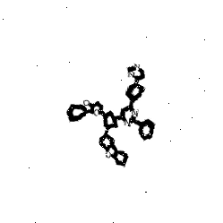 c1ccc(-c2nc(-c3ccc(-c4ccncn4)cc3)cc(-c3cc(-c4ccc5oc6ccccc6c5c4)cc(-c4ccc5oc6ccccc6c5c4)c3)n2)cc1